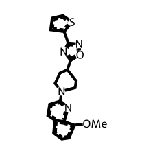 COc1cccc2ccc(N3CCC(c4nc(-c5cccs5)no4)CC3)nc12